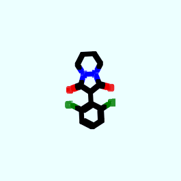 O=C1C(c2c(Cl)cccc2Cl)C(=O)N2CCCCN12